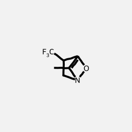 Cc1c2on1CC2C(F)(F)F